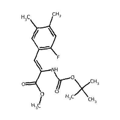 COC(=O)/C(=C/c1cc(C)c(C)cc1F)NC(=O)OC(C)(C)C